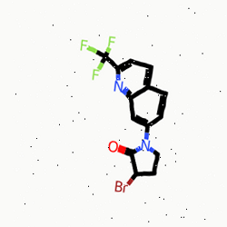 O=C1C(Br)CCN1c1ccc2ccc(C(F)(F)F)nc2c1